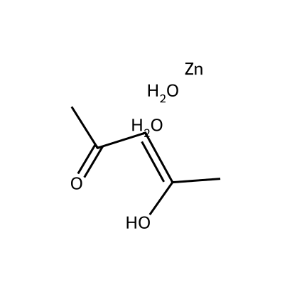 CC(=O)/C=C(/C)O.O.O.[Zn]